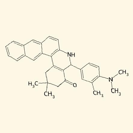 Cc1cc(C2Nc3ccc4cc5ccccc5cc4c3C3=C2C(=O)CC(C)(C)C3)ccc1N(C)C